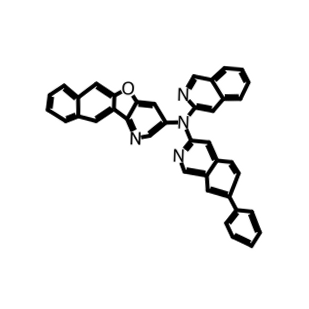 c1ccc(-c2ccc3cc(N(c4cnc5c(c4)oc4cc6ccccc6cc45)c4cc5ccccc5cn4)ncc3c2)cc1